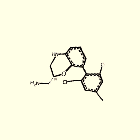 Cc1cc(Cl)c(-c2cccc3c2O[C@H](CN)CN3)c(Cl)c1